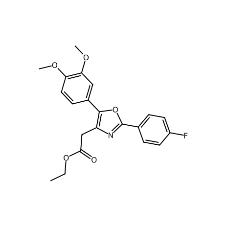 CCOC(=O)Cc1nc(-c2ccc(F)cc2)oc1-c1ccc(OC)c(OC)c1